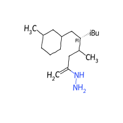 C=C(CC(C)[C@H](CC1CCCC(C)C1)C(C)CC)NN